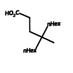 CCCCCCC(C)(CCCCCC)CCC(=O)O